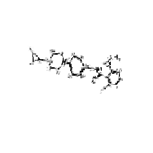 COc1nccc(I)c1C(=O)Nc1ccc(N2CCN(C3CC3)CC2)cc1